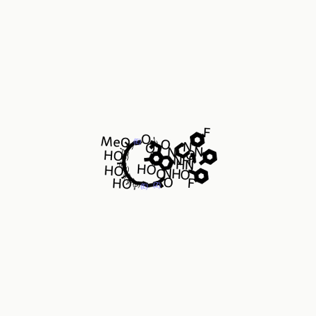 CO[C@H]1/C=C/O[C@]2(C)Oc3c(C)c(O)c4c(c3C2=O)C2=NC3(CCN(c5ccc(F)cc5N(C(=O)CNC(=O)c5ccccc5F)c5ccccc5C)CC3)NC2=C(NC(=O)/C(C)=C\C=C\[C@H](C)[C@H](O)[C@@H](C)[C@@H](O)[C@@H](C)[C@H](O)[C@@H]1C)C4=O